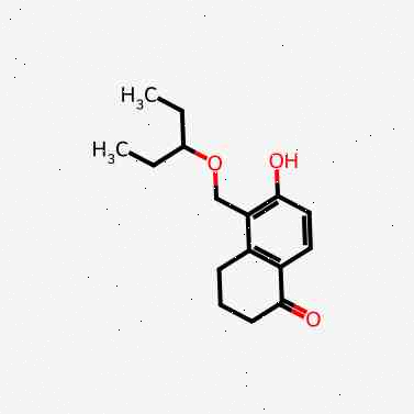 CCC(CC)OCc1c(O)ccc2c1CCCC2=O